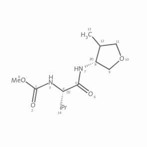 COC(=O)N[C@H](C(=O)N[C@H]1COCC1C)C(C)C